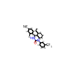 CC=C1CCCC2=C1C(c1ccc(C#N)cc1C)NC(=O)N2c1cccc(C(F)(F)F)c1